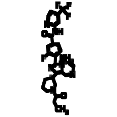 CCC(=O)N1CCC[C@@H](C2=C3C=NC=C[N+]3(N)C(c3ccc(C(=O)Nc4cc(C(F)(F)F)ccn4)cc3F)=N2)C1